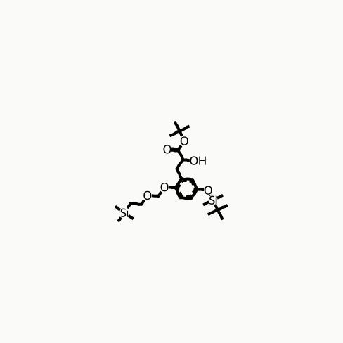 CC(C)(C)OC(=O)C(O)Cc1cc(O[Si](C)(C)C(C)(C)C)ccc1OCOCC[Si](C)(C)C